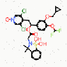 CC1(C)c2ccccc2S(O)(O)N1CC(=O)OC(Cc1c(Cl)c[n+]([O-])cc1Cl)c1ccc(OC(F)F)c(OCC2CC2)c1